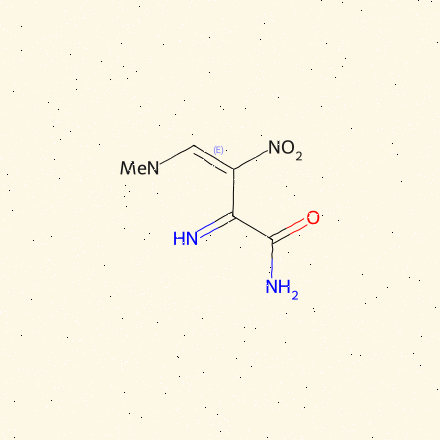 CN/C=C(\C(=N)C(N)=O)[N+](=O)[O-]